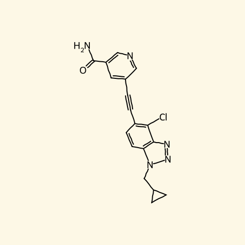 NC(=O)c1cncc(C#Cc2ccc3c(nnn3CC3CC3)c2Cl)c1